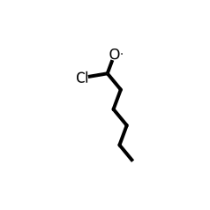 CCCCCC([O])Cl